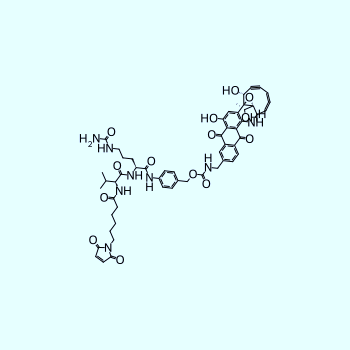 CC(C)[C@H](NC(=O)CCCCCN1C(=O)C=CC1=O)C(=O)N[C@@H](CCCNC(N)=O)C(=O)Nc1ccc(COC(=O)NCc2ccc3c(c2)C(=O)c2c(O)cc4c(c2C3=O)N[C@H]2C=C=CC#C[C@@H](O)[C@@]43O[C@@]23[C@@H](C)O)cc1